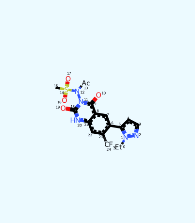 CCn1nccc1-c1cc2c(=O)n(N(C(C)=O)S(C)(=O)=O)c(=O)[nH]c2cc1C(F)(F)F